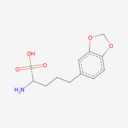 NC(CCCc1ccc2c(c1)OCO2)S(=O)(=O)O